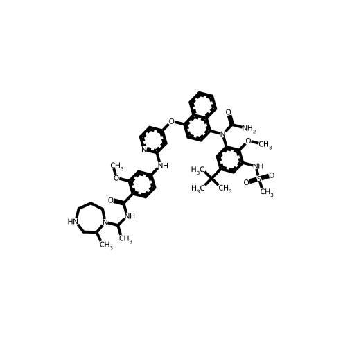 COc1cc(Nc2cc(Oc3ccc(N(C(N)=O)c4cc(C(C)(C)C)cc(NS(C)(=O)=O)c4OC)c4ccccc34)ccn2)ccc1C(=O)NC(C)N1CCCNCC1C